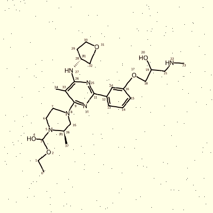 CCOC(O)N1CCN(c2nc(-c3cccc(OCC(O)CNC)c3)nc(N[C@@H]3CCOC3)c2C)C[C@H]1C